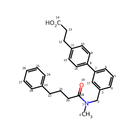 CN(Cc1cccc(-c2ccc(CCC(=O)O)cc2)c1)C(=O)CCCc1ccccc1